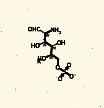 N[C@@H](C=O)[C@@H](O)[C@H](O)[C@H](O)COS(=O)(=O)[O-].[K+]